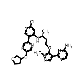 C[C@@H](CCOc1c(-c2nccc(N)n2)cnn1C)Nc1cc(Cl)ncc1-c1cnc(OC2CCOC2)cn1